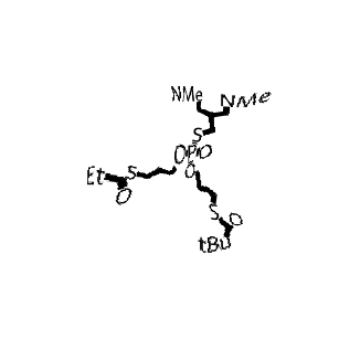 CCC(=O)SCCCOP(=O)(OCCCSC(=O)C(C)(C)C)SCC(CNC)CNC